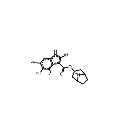 [2H]c1cc2[nH]c([2H])c(C(=O)OC3CC4CCC(C3)N4C)c2c([2H])c1[2H]